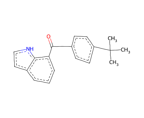 CC(C)(C)c1ccc(C(=O)c2cccc3cc[nH]c23)cc1